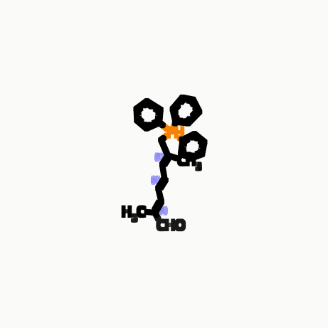 C\C(C=O)=C/C=C/C=C(\C)C[PH](c1ccccc1)(c1ccccc1)c1ccccc1